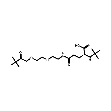 CC(C)(C)N[C@@H](CCC(=O)NCCOCCOCC(=O)C(C)(C)C)C(=O)O